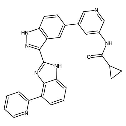 O=C(Nc1cncc(-c2ccc3[nH]nc(-c4nc5c(-c6ccccn6)cccc5[nH]4)c3c2)c1)C1CC1